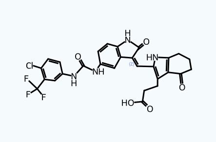 O=C(O)CCc1c(/C=C2\C(=O)Nc3ccc(NC(=O)Nc4ccc(Cl)c(C(F)(F)F)c4)cc32)[nH]c2c1C(=O)CCC2